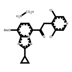 COc1ccc(C(=O)Cc2c(Cl)cncc2Cl)n2nc(C3CC3)nc12.NC(=O)O